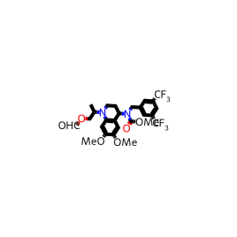 COC(=O)N(Cc1cc(C(F)(F)F)cc(C(F)(F)F)c1)C1CCN(C(C)COC=O)c2cc(OC)c(OC)cc21